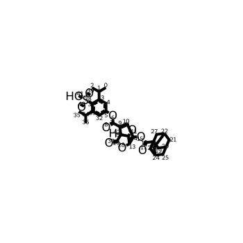 CC(C)c1cc(OC(=O)C2=C3OC4C(=C3OC(=O)C35CC6CC(CC(C6)C3)C5)OC(=O)[C@@H]24)cc(C(C)C)c1S(=O)(=O)O